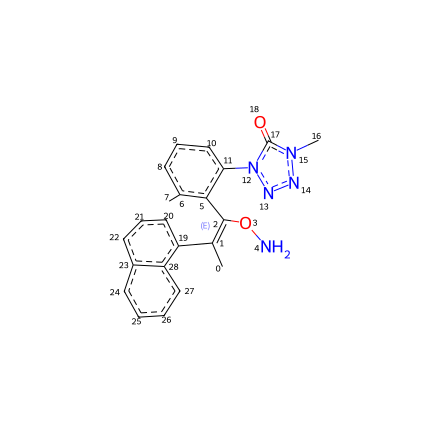 C/C(=C(\ON)c1c(C)cccc1-n1nnn(C)c1=O)c1cccc2ccccc12